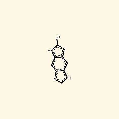 Sc1nc2cc3[nH]cnc3cc2[nH]1